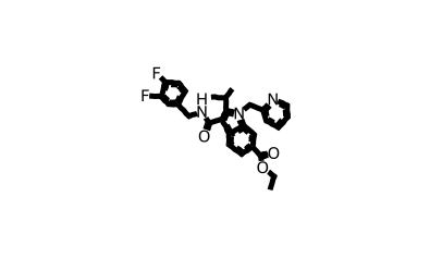 CCOC(=O)c1ccc2c(C(=O)NCc3ccc(F)c(F)c3)c(C(C)C)n(Cc3ccccn3)c2c1